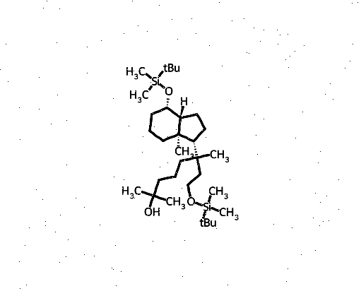 CC(C)(O)CCCC(C)(CCO[Si](C)(C)C(C)(C)C)[C@H]1CC[C@H]2[C@@H](O[Si](C)(C)C(C)(C)C)CCC[C@]12C